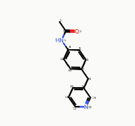 CC(=O)Nc1ccc(Cc2cccnc2)cc1